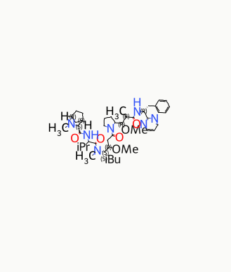 CC[C@H](C)[C@@H]([C@@H](CC(=O)N1CCCC1[C@H](OC)[C@@H](C)C(=O)N[C@H](Cc1ccccc1)c1ncccn1)OC)N(C)C(=O)C(NC(=O)[C@@H]1[C@H]2CC[C@H](C2)N1C)C(C)C